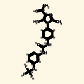 Cc1nc(C(N)=O)c(N)n1-c1ccc(NC(=O)Nc2cccc(OC(F)(F)F)c2)cc1